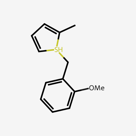 COc1ccccc1C[SH]1C=CC=C1C